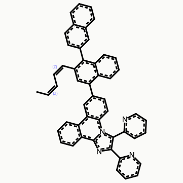 C/C=C\C=C/c1cc(-c2ccc3c(c2)c2ccccc2c2nc(-c4ccccn4)c(-c4ccccn4)n32)c2ccccc2c1-c1ccc2ccccc2c1